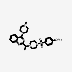 COc1ccc(S(=O)(=O)N2CCN(C(C)c3nc(N4CCN(C)CC4)c4ccccc4n3)CC2)cc1